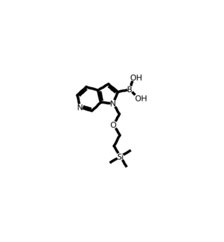 C[Si](C)(C)CCOCn1c(B(O)O)cc2ccncc21